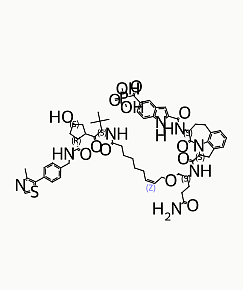 Cc1ncsc1-c1ccc(CNC(=O)[C@@H]2C[C@@H](O)CC2C(=O)[C@@H](NC(=O)CCCCC/C=C\COC[C@H](CCC(N)=O)NC(=O)[C@@H]2Cc3cccc4c3N2C(=O)[C@@H](NC(=O)c2cc3cc(C(=O)P(=O)(O)O)ccc3[nH]2)CC4)C(C)(C)C)cc1